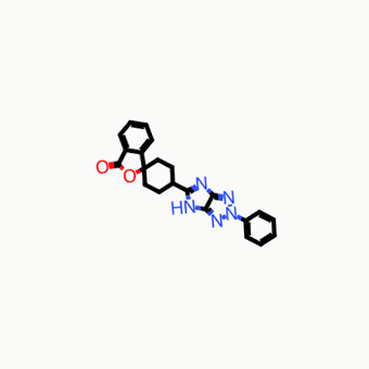 O=C1OC2(CCC(c3nc4nn(-c5ccccc5)nc4[nH]3)CC2)c2ccccc21